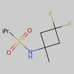 CC(C)S(=O)(=O)NC1(C)CC(F)(F)C1